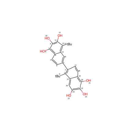 CC(C)(C)c1c(-c2ccc3c(O)c(O)c(O)c(C(C)(C)C)c3c2)ccc2c(O)c(O)c(O)cc12